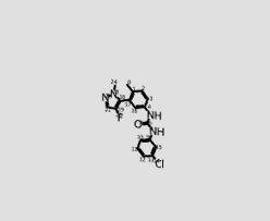 Cc1ccc(NC(=O)Nc2cccc(Cl)c2)cc1-c1c(F)cnn1C